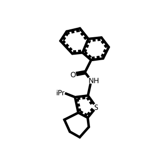 CC(C)c1c(NC(=O)c2cccc3ccccc23)sc2c1CCCC2